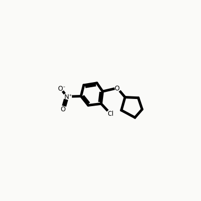 O=[N+]([O-])c1ccc(OC2CCCC2)c(Cl)c1